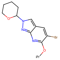 CC(C)Oc1nc2nn(C3CCCCO3)cc2cc1Br